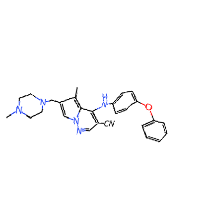 Cc1c(CN2CCN(C)CC2)cn2ncc(C#N)c(Nc3ccc(Oc4ccccc4)cc3)c12